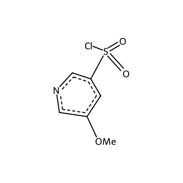 COc1cncc(S(=O)(=O)Cl)c1